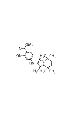 COC(=O)c1ccc(Nc2sc3c(c2C)C(C)(C)CCC3(C)C)cc1N=O